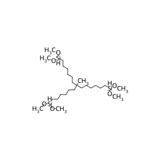 CO[SiH](CCCCCCC(C)(CCCCCC[SiH](OC)OC)CCCCCC[SiH](OC)OC)OC